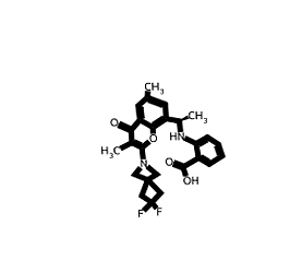 Cc1cc([C@@H](C)Nc2ccccc2C(=O)O)c2oc(N3CC4(C3)CC(F)(F)C4)c(C)c(=O)c2c1